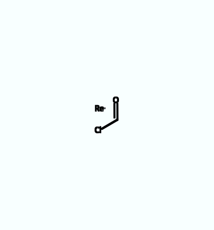 O=CCl.[Re]